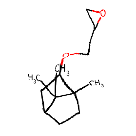 CC1(C)C2CCC1(C)C(OCC1CO1)C2